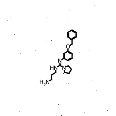 NCCCN/C(=N/c1cccc(OCc2ccccc2)c1)N1CCCC1